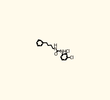 O=C(NCCCCc1ccccc1)Nc1cccc(Cl)c1Cl